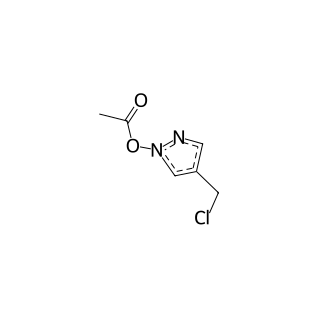 CC(=O)On1cc(CCl)cn1